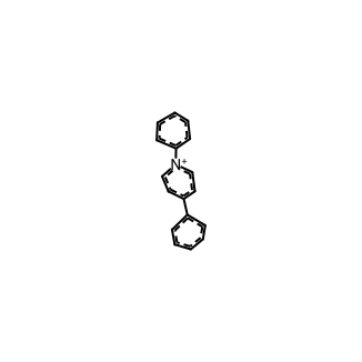 c1ccc(-c2cc[n+](-c3ccccc3)cc2)cc1